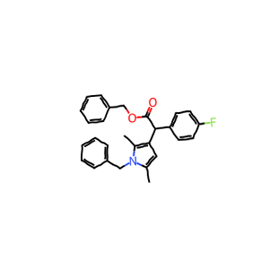 Cc1cc(C(C(=O)OCc2ccccc2)c2ccc(F)cc2)c(C)n1Cc1ccccc1